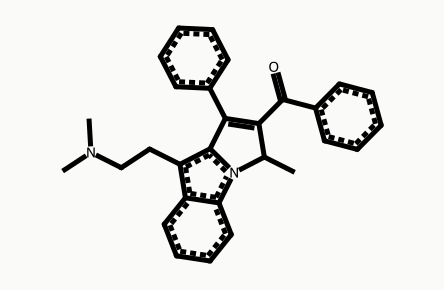 CC1C(C(=O)c2ccccc2)=C(c2ccccc2)c2c(CCN(C)C)c3ccccc3n21